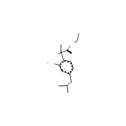 CCOC(=O)C(C)(O)c1ccc(CC(C)C)cc1O